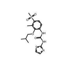 Cc1c(S(C)(=O)=O)ccc(NC(=O)Nc2nccs2)c1OCC(C)C